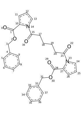 O=C(OCc1ccccc1)c1cccn1C(=O)CCCCC(=O)n1cccc1C(=O)OCc1ccccc1